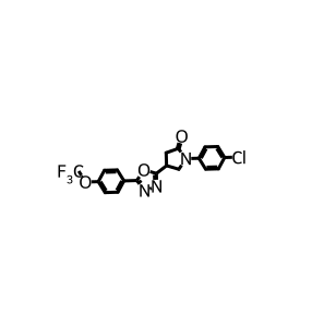 O=C1CC(c2nnc(-c3ccc(OC(F)(F)F)cc3)o2)CN1c1ccc(Cl)cc1